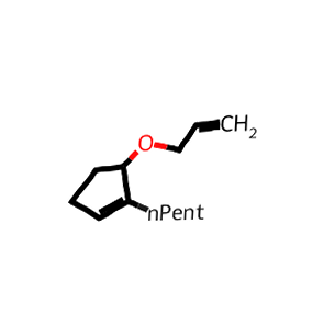 C=CCOC1CCC=C1CCCCC